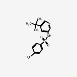 Cc1ccc(S(=O)(=O)Nc2cncc(C(C)(C)C)c2)cc1